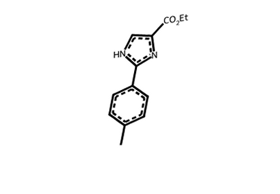 CCOC(=O)c1c[nH]c(-c2ccc(C)cc2)n1